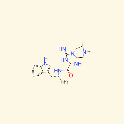 CCCC(Cc1c[nH]c2ccccc12)NC(=O)C(=N)NC(=N)N1CCN(C)C(C)C1